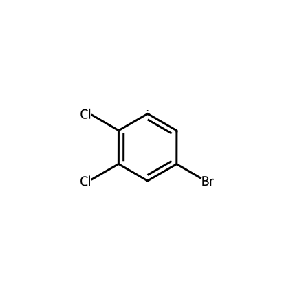 Clc1[c]cc(Br)cc1Cl